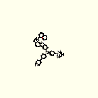 c1ccc(-n2ccc3ccc4c5cc(N(c6ccc(-c7ccncc7)cc6)c6ccc(-c7ncncn7)cc6)ccc5n(-c5ccccc5)c4c32)cc1